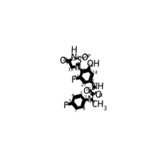 CN(c1ccc(F)cc1)S(=O)(=O)Nc1cc(O)c(N2CC(=O)N[S+]2[O-])c(F)c1